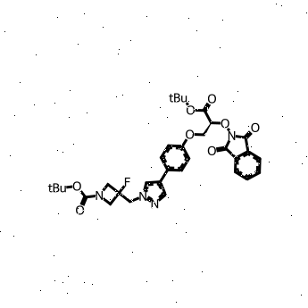 CC(C)(C)OC(=O)[C@H](COc1ccc(-c2cnn(CC3(F)CN(C(=O)OC(C)(C)C)C3)c2)cc1)ON1C(=O)c2ccccc2C1=O